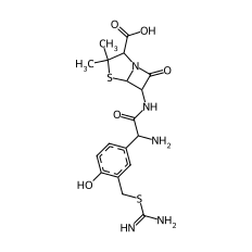 CC1(C)SC2C(NC(=O)C(N)c3ccc(O)c(CSC(=N)N)c3)C(=O)N2C1C(=O)O